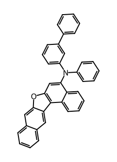 c1ccc(-c2cccc(N(c3ccccc3)c3cc4oc5cc6ccccc6cc5c4c4ccccc34)c2)cc1